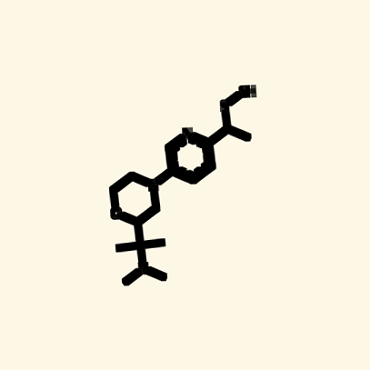 CC(SS)c1ccc(N2CCOC(C(C)(C)N(C)C)C2)cn1